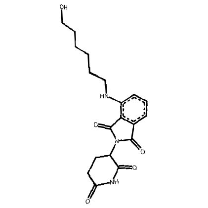 O=C1CCC(N2C(=O)c3cccc(NCCCCCCO)c3C2=O)C(=O)N1